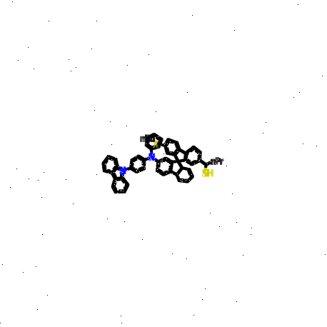 CCCCSc1ccc2c(c1)C1(c3cc(C(S)CCC)ccc3-2)c2cc(N(c3ccccc3)c3ccc(-n4c5ccccc5c5ccccc54)cc3)ccc2C2C=CC=CC21